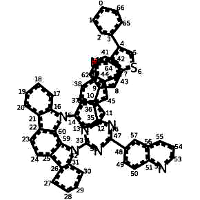 c1ccc(-c2csc3cc(-c4cccc(-n5c6ccccc6c6ccc7c8ccccc8n(-c8nc(-c9ccc%10ncccc%10c9)nc(-c9ccc%10ncccc%10c9)n8)c7c65)c4)ccc23)cc1